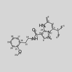 C=C1C=C(C(F)F)n2ncc(C(=O)NCCc3ccccc3OC)c2N1